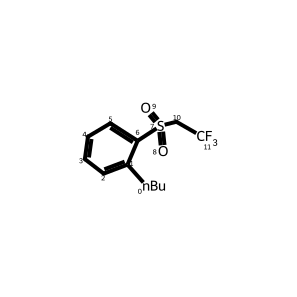 CCCCc1ccccc1S(=O)(=O)CC(F)(F)F